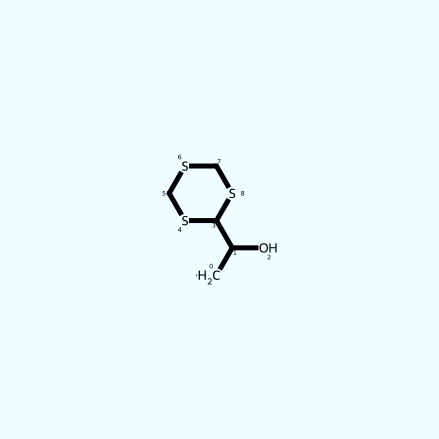 [CH2]C(O)C1SCSCS1